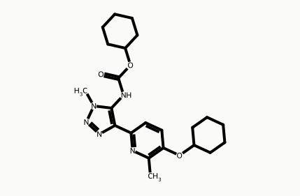 Cc1nc(-c2nnn(C)c2NC(=O)OC2CCCCC2)ccc1OC1CCCCC1